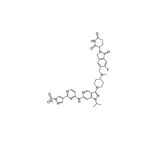 CC(C)n1nc(N2CCC(N(C)Cc3cc4c(cc3F)C(=O)N(C3CCC(=O)NC3=O)C4)CC2)c2cnc(Nc3ccnc(-c4cnn([SH](=O)=O)c4)n3)cc21